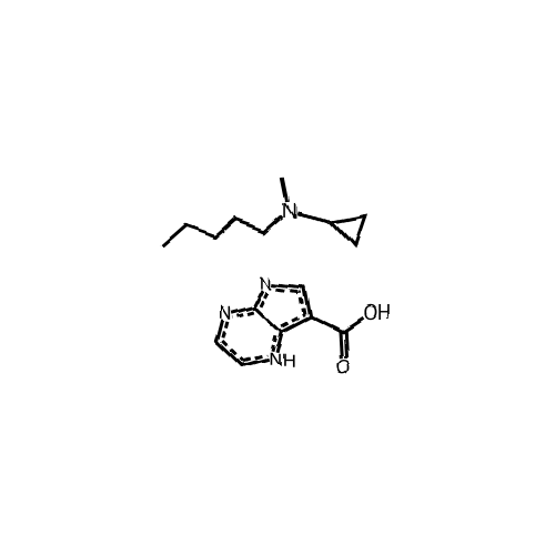 CCCCCN(C)C1CC1.O=C(O)c1cnc2ncc[nH]c1-2